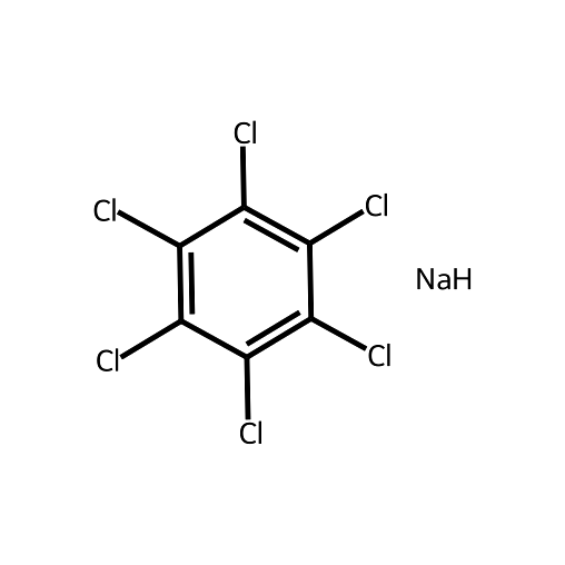 Clc1c(Cl)c(Cl)c(Cl)c(Cl)c1Cl.[NaH]